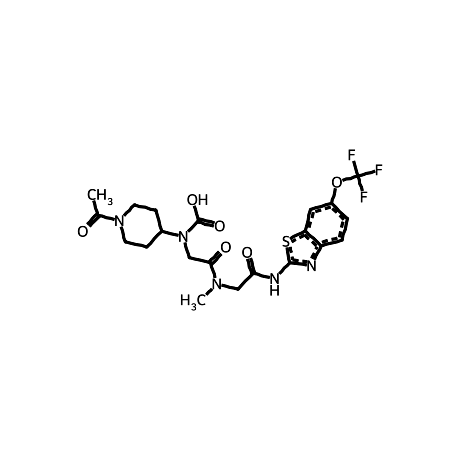 CC(=O)N1CCC(N(CC(=O)N(C)CC(=O)Nc2nc3ccc(OC(F)(F)F)cc3s2)C(=O)O)CC1